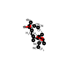 CC(C)(C)c1ccc2c(c1)c1cc(C(C)(C)C)ccc1n2-c1cc(C#N)c(-c2cc(C#N)cc(C(F)(F)F)c2)cc1-n1c2ccc(C(C)(C)C)cc2c2cc(C(C)(C)Cc3ccc4c(c3)c3ccccc3n4-c3ccc4c5ccccc5n(-c5cc(C#N)c(-c6cc(C#N)cc(C(F)(F)F)c6)cc5-n5c6ccccc6c6ccc(-n7c8ccccc8c8ccccc87)cc65)c4c3)ccc21